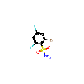 NS(=O)(=O)c1c(F)cc(F)cc1Br